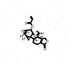 C=CC(=O)O[C@@H]1[C@@]2(C(C)C)O[C@H]2[C@@H]2C[C@@]23[C@@]2(C)CCC4=C(COC4=O)[C@@H]2[C@H]2C[C@@]13O2